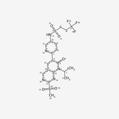 CC(C)n1c(=O)c(-c2ccc(NS(=O)(=O)CCC(F)(F)F)cn2)cc2cnc(S(C)(=O)=O)nc21